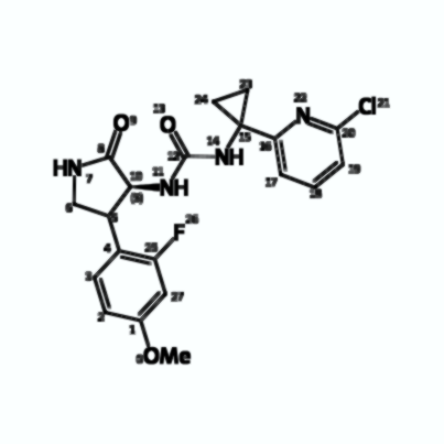 COc1ccc(C2CNC(=O)[C@H]2NC(=O)NC2(c3cccc(Cl)n3)CC2)c(F)c1